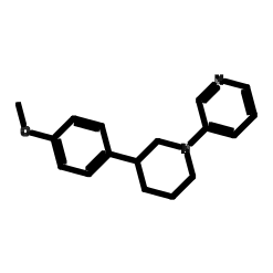 COc1ccc(C2CCCN(c3cccnc3)C2)cc1